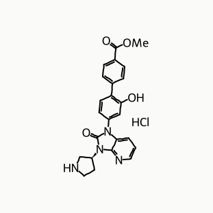 COC(=O)c1ccc(-c2ccc(-n3c(=O)n([C@H]4CCNC4)c4ncccc43)cc2O)cc1.Cl